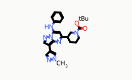 Cn1cc(-c2cnn3c(Nc4ccccc4)cc(C4CCCN(C(=O)OC(C)(C)C)C4)nc23)cn1